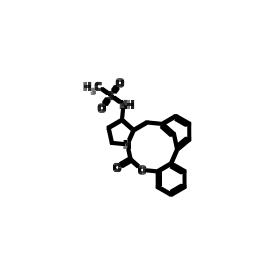 CS(=O)(=O)NC1CCN2C(=O)Oc3ccccc3-c3cccc(c3)CC12